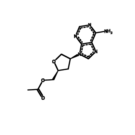 CC(=O)OC[C@@H]1C[C@H](n2cnc3c(N)ncnc32)CO1